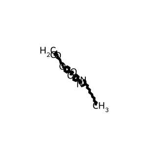 C=CC(=O)OCCCCOc1ccc(C(=O)Oc2ccc(-c3ncc(CCCCCCCCCC)cn3)cc2)cc1